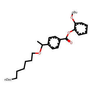 CCCCCCCCCCCCCCCCOC(C)c1ccc(C(=O)Oc2ccccc2OCCCC)cc1